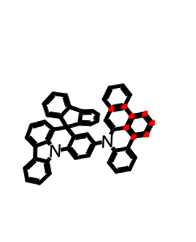 c1ccc(-c2cccc(-c3ccccc3N(c3ccc4c(c3)C3(c5ccccc5-c5ccccc53)c3cccc5c6ccccc6n-4c35)c3cccc4ccccc34)c2)cc1